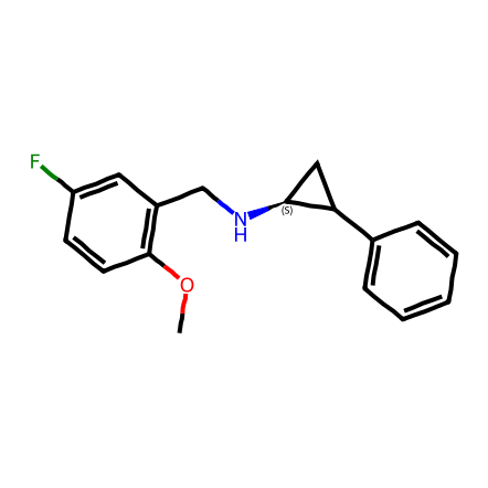 COc1ccc(F)cc1CN[C@H]1CC1c1ccccc1